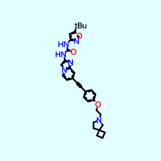 CC(C)(C)c1cc(NC(=O)Nc2cn3ccc(C#Cc4ccc(OCCN5CCC6(CCC6)C5)cc4)cc3n2)no1